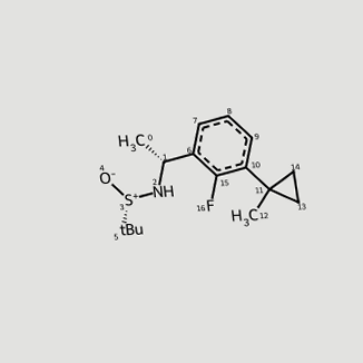 C[C@@H](N[S@@+]([O-])C(C)(C)C)c1cccc(C2(C)CC2)c1F